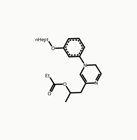 CCCCCCCOc1cccc(N2C=C(CC(C)OC(=O)CC)N=CC2)c1